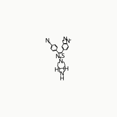 Cn1ncc2cc(-c3sc(N4CC[C@@H]5CNC[C@@H]5CC4)nc3-c3ccc(C#N)cc3)ccc21